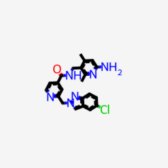 Cc1cc(N)nc(C)c1CNC(=O)c1ccnc(Cn2cc3cc(Cl)ccc3n2)c1